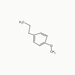 CCCc1c[c]c(OC)cc1